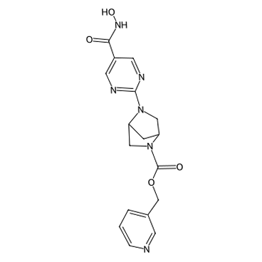 O=C(NO)c1cnc(N2CC3CC2CN3C(=O)OCc2cccnc2)nc1